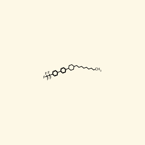 CCCCCCCCCC1CCC(c2ccc(-c3ccc(C(F)(F)C(F)(F)F)cc3)cc2)CC1